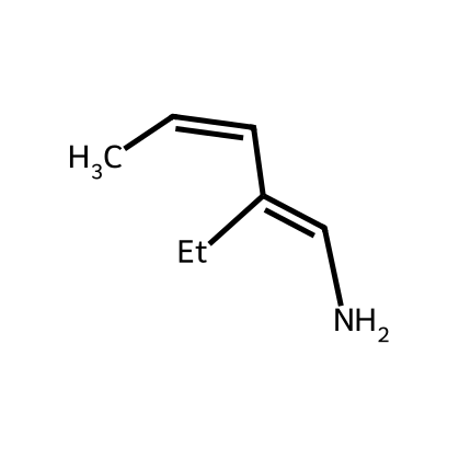 C/C=C\C(=C\N)CC